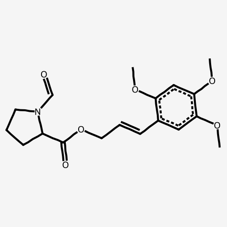 COc1cc(OC)c(OC)cc1/C=C/COC(=O)C1CCCN1C=O